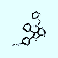 COc1ccc(-c2oc3ncnc(NC[C@@H]4CCCO4)c3c2-c2ccccc2)cn1